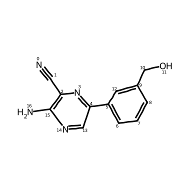 N#Cc1nc(-c2cccc(CO)c2)cnc1N